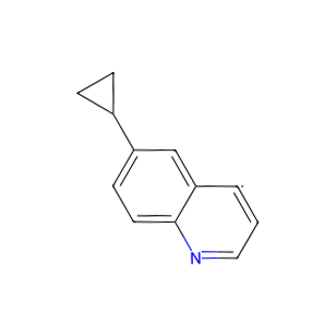 [c]1ccnc2ccc(C3CC3)cc12